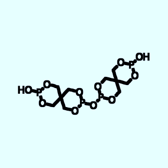 OP1OCC2(CO1)COP(OP1OCC3(COP(O)OC3)CO1)OC2